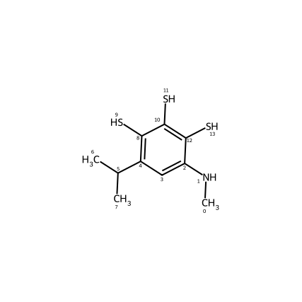 CNc1cc(C(C)C)c(S)c(S)c1S